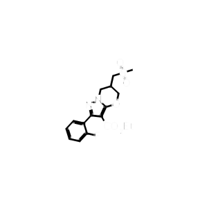 CCOC(=O)c1c(-c2ccccc2F)nn2c1OCC(CS(C)(=O)=O)C2